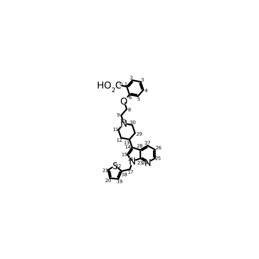 O=C(O)c1ccccc1OCCN1CCC(c2cn(Cc3cccs3)c3ncccc23)CC1